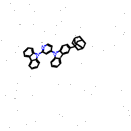 c1ccc2c(c1)c1cc(C34CC5CC(CC(C5)C3)C4)ccc1n2-c1ccnc(-n2c3ccccc3c3ccccc32)c1